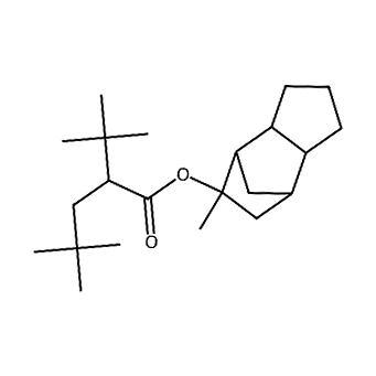 CC(C)(C)CC(C(=O)OC1(C)CC2CC1C1CCCC21)C(C)(C)C